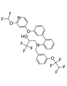 OC(CN(Cc1cccc(OC(F)(F)C(F)F)c1)c1ccccc1-c1cccc(Oc2ccnc(OC(F)F)c2)c1)C(F)(F)F